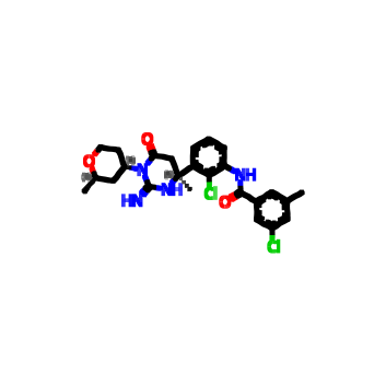 Cc1cc(Cl)cc(C(=O)Nc2cccc([C@]3(C)CC(=O)N([C@@H]4CCO[C@H](C)C4)C(=N)N3)c2Cl)c1